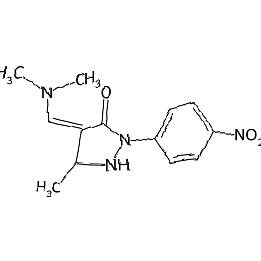 CC1NN(c2ccc([N+](=O)[O-])cc2)C(=O)C1=CN(C)C